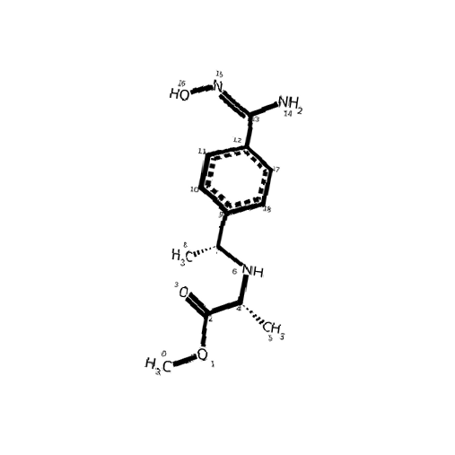 COC(=O)[C@@H](C)N[C@H](C)c1ccc(/C(N)=N\O)cc1